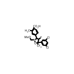 COCN1OC(c2cc(Cl)cc(Cl)c2)(C(F)(F)F)C(F)C1c1ccc(C(=O)O)c(C)c1